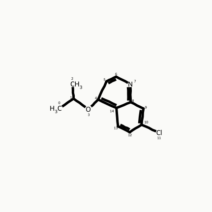 CC(C)Oc1ccnc2cc(Cl)ccc12